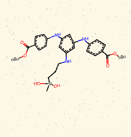 CCCCOC(=O)c1ccc(Nc2cc(NCCC[Si](C)(O)O)cc(Nc3ccc(C(=O)OCCCC)cc3)c2)cc1